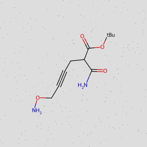 CC(C)(C)OC(=O)C(CC#CCON)C(N)=O